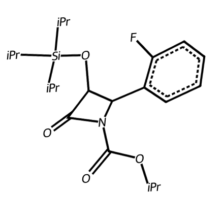 CC(C)OC(=O)N1C(=O)C(O[Si](C(C)C)(C(C)C)C(C)C)C1c1ccccc1F